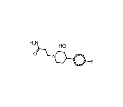 Cl.NC(=O)CCN1CCC(c2ccc(F)cc2)CC1